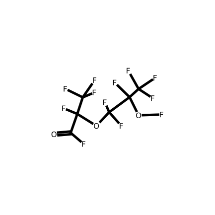 O=C(F)C(F)(OC(F)(F)C(F)(OF)C(F)(F)F)C(F)(F)F